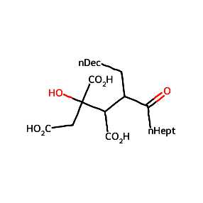 CCCCCCCCCCCC(C(=O)CCCCCCC)C(C(=O)O)C(O)(CC(=O)O)C(=O)O